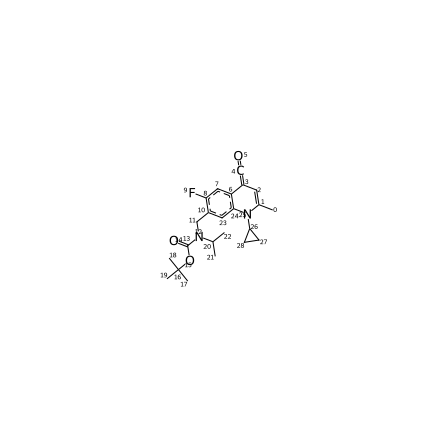 CC1=CC(=C=O)c2cc(F)c(CN(C(=O)OC(C)(C)C)C(C)C)cc2N1C1CC1